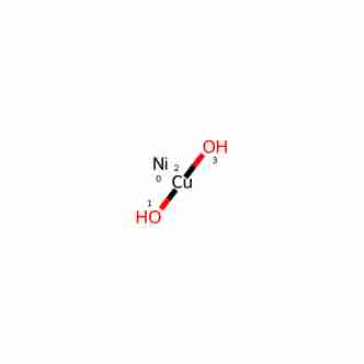 [Ni].[OH][Cu][OH]